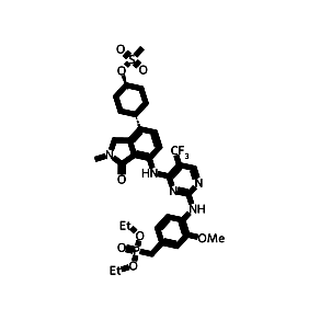 CCOP(=O)(Cc1ccc(Nc2ncc(C(F)(F)F)c(Nc3ccc([C@H]4CC[C@H](OS(C)(=O)=O)CC4)c4c3C(=O)N(C)C4)n2)c(OC)c1)OCC